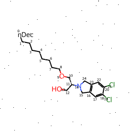 CCCCCCCCCCCCCCCCCCOC[C@H](CO)N1Cc2cc(Cl)c(Cl)cc2C1